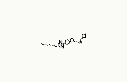 CCCCCCCCc1cnc(-c2ccc(OCCC[C@@H](C)CCCl)cc2)nc1